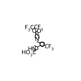 O=C(O)C1CC(c2cc(C(F)(F)F)ccc2CN2CCN(C(=O)OC(C(F)(F)F)C(F)(F)F)CC2)CN1